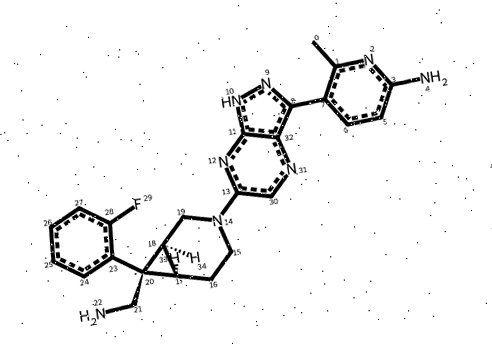 Cc1nc(N)ccc1-c1n[nH]c2nc(N3CC[C@@H]4[C@H](C3)[C@@]4(CN)c3ccccc3F)cnc12